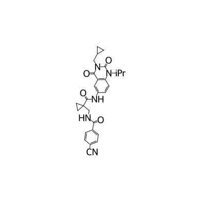 CC(C)n1c(=O)n(CC2CC2)c(=O)c2cc(NC(=O)C3(CNC(=O)c4ccc(C#N)cc4)CC3)ccc21